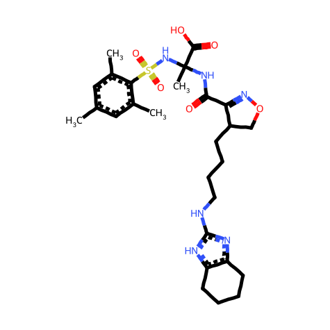 Cc1cc(C)c(S(=O)(=O)NC(C)(NC(=O)C2=NOCC2CCCCNc2nc3c([nH]2)CCCC3)C(=O)O)c(C)c1